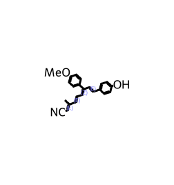 COc1ccc(C(=C\C=C\C(C)=C\C#N)/C=C/c2ccc(O)cc2)cc1